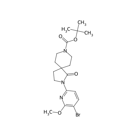 COc1nc(N2CCC3(CCN(C(=O)OC(C)(C)C)CC3)C2=O)ccc1Br